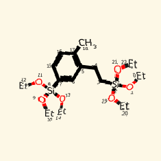 CCO[Si](CCc1cc([Si](OCC)(OCC)OCC)ccc1C)(OCC)OCC